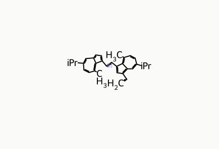 C=Cc1cc(/C=C/c2ccc3cc(C(C)C)ccc(C)c2-3)c2c(C)ccc(C(C)C)cc1-2